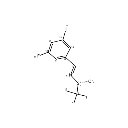 CC(C)(C)[S@@+]([O-])N=Cc1cc(F)cc(I)c1